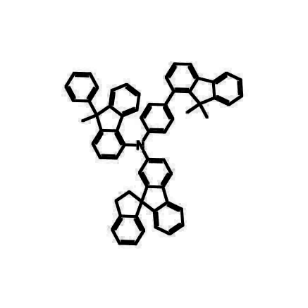 CC1(C)c2ccccc2-c2cccc(-c3ccc(N(c4ccc5c(c4)C4(CCc6ccccc64)c4ccccc4-5)c4cccc5c4-c4ccccc4C5(C)c4ccccc4)cc3)c21